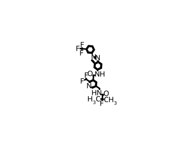 CC(C)(F)C(=O)NCc1cnc(C(F)F)c(C(=O)Nc2ccc3nn(-c4cccc(C(F)(F)F)c4)cc3c2)c1